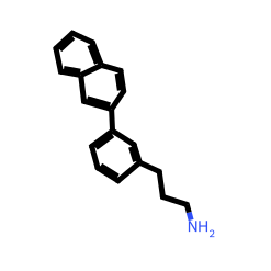 NCCCc1cccc(-c2ccc3ccccc3c2)c1